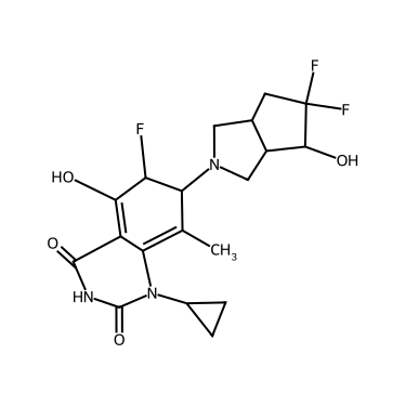 CC1=c2c(c(=O)[nH]c(=O)n2C2CC2)=C(O)C(F)C1N1CC2CC(F)(F)C(O)C2C1